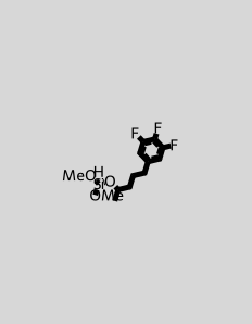 CO[SiH](OC)OC(C)CCCc1cc(F)c(F)c(F)c1